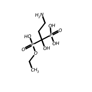 CCOP(=O)(O)C(O)(CCN)P(=O)(O)O